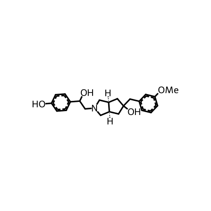 COc1cccc(CC2(O)C[C@H]3CN(CC(O)c4ccc(O)cc4)C[C@H]3C2)c1